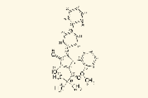 COc1ccccc1C1C(C(=O)C(C)(C)C)=C(O)C(=O)N1c1ccc(-c2ccccn2)cc1